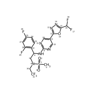 CS(=O)(=O)N(CC(Nc1ncc(-c2nnc(C(F)F)o2)cn1)c1ccc(F)cc1F)CC(F)(F)F